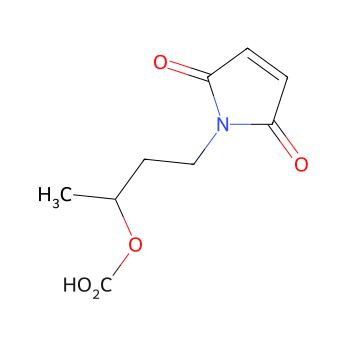 CC(CCN1C(=O)C=CC1=O)OC(=O)O